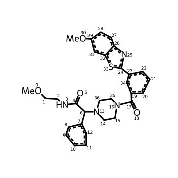 COCCNC(=O)C(c1ccccc1)N1CCN(C(=O)c2cccc(-c3nc4ccc(OC)cc4s3)c2)CC1